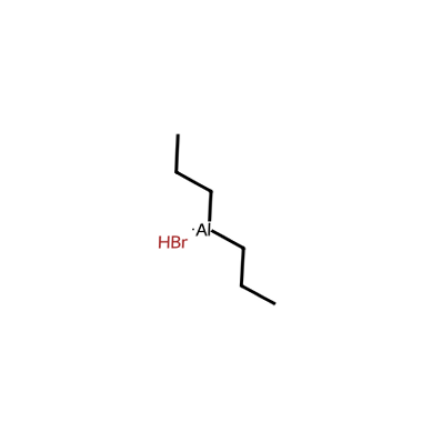 Br.CC[CH2][Al][CH2]CC